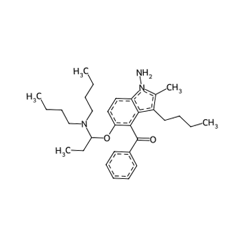 CCCCc1c(C)n(N)c2ccc(OC(CC)N(CCCC)CCCC)c(C(=O)c3ccccc3)c12